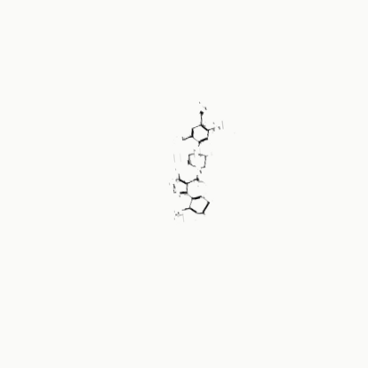 COc1ccccc1-c1noc(C)c1C(=O)N1CCN(c2cc(N)c(C#N)cc2Cl)CC1